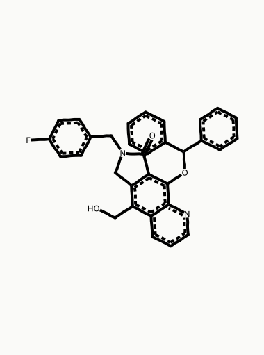 O=C1c2c(c(CO)c3cccnc3c2OC(c2ccccc2)c2ccccc2)CN1Cc1ccc(F)cc1